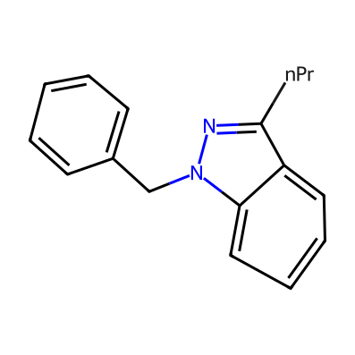 CCCc1nn(Cc2ccccc2)c2ccccc12